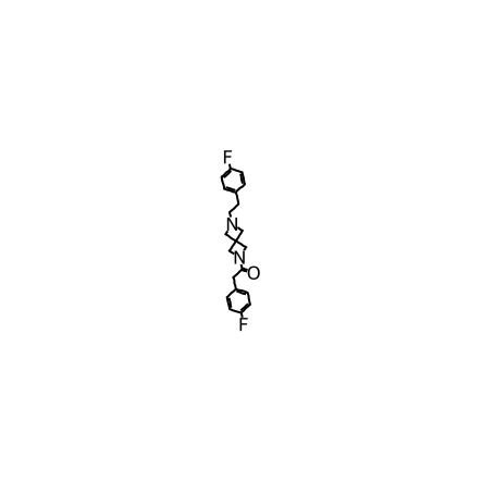 O=C(Cc1ccc(F)cc1)N1CC2(CN(CCc3ccc(F)cc3)C2)C1